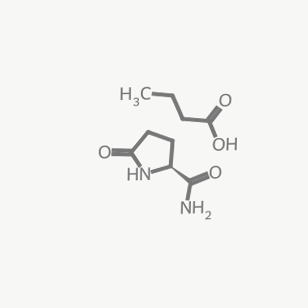 CCCC(=O)O.NC(=O)[C@@H]1CCC(=O)N1